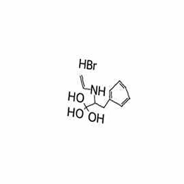 Br.C=CNC(Cc1ccccc1)C(O)(O)O